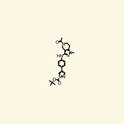 CC(=O)N1CCc2c(c(Nc3ccc(-c4cnn(C(=O)OC(C)(C)C)c4)cc3)nn2C)C1